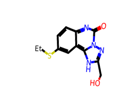 CCSc1ccc2nc(=O)n3nc(CO)[nH]c3c2c1